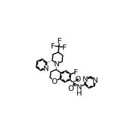 O=S(=O)(Nc1ccncn1)c1cc2c(cc1F)[C@@H](N1CCC(C(F)(F)F)C[C@H]1c1ccccn1)CCO2